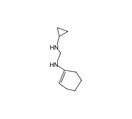 C1=C(NCNC2CC2)CCCC1